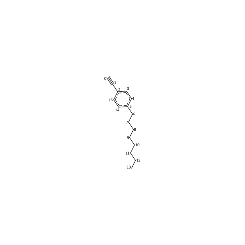 [C]#Cc1ccc(CCCCCCCC)cc1